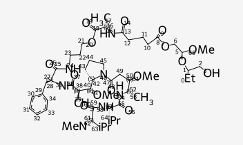 CCC(CO)OC(COC(=O)CCCC(=O)N[C@@H](C)C(=O)OCCCNC(=O)[C@H](Cc1ccccc1)NC(=O)[C@H](C)[C@@H](OC)[C@@H]1CCCN1C(=O)C[C@@H](OC)[C@H](C)NC(=O)[C@@H](NC(=O)[C@@H](NC)C(C)C)C(C)C)OC